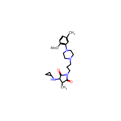 COc1ccc(C)cc1N1CCN(CCCN2C(=O)C(C)C(NC3CC3)C2=O)CC1